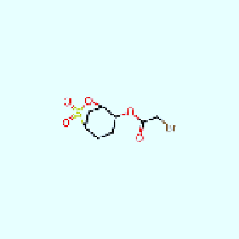 O=C(CBr)OC1CCC2CC1OS2(=O)=O